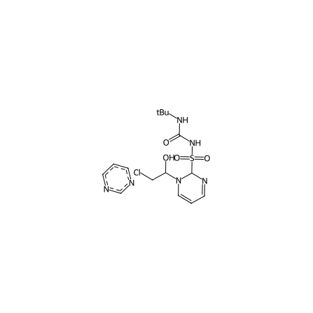 CC(C)(C)NC(=O)NS(=O)(=O)C1N=CC=CN1C(O)CCl.c1cncnc1